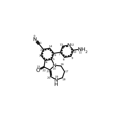 N#Cc1cc2c(c(-c3ccc(N)nc3)c1)N1CCCNC=C1C2=O